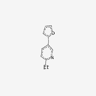 CCc1ccc(-c2ccco2)cn1